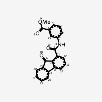 COC(=O)c1cccc(NC(=O)c2cccc3c2C(=O)c2ccccc2-3)c1